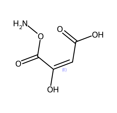 NOC(=O)/C(O)=C\C(=O)O